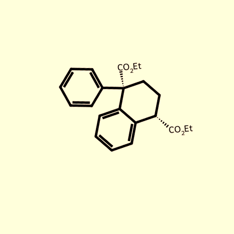 CCOC(=O)[C@H]1CC[C@](C(=O)OCC)(c2ccccc2)c2ccccc21